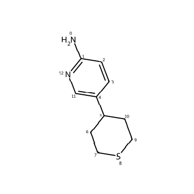 Nc1ccc(C2CCSCC2)cn1